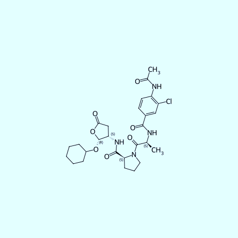 CC(=O)Nc1ccc(C(=O)N[C@@H](C)C(=O)N2CCC[C@H]2C(=O)N[C@H]2CC(=O)O[C@H]2OC2CCCCC2)cc1Cl